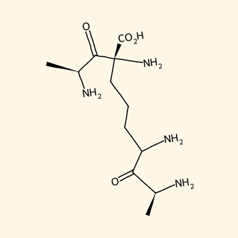 C[C@H](N)C(=O)C(N)CCC[C@](N)(C(=O)O)C(=O)[C@H](C)N